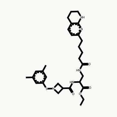 CCOC(=O)C(CNC(=O)CCCCc1ccc2c(n1)NCCC2)NC(=O)C1CN(Sc2cc(C)cc(C)c2)C1